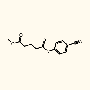 COC(=O)CCCC(=O)Nc1ccc(C#N)cc1